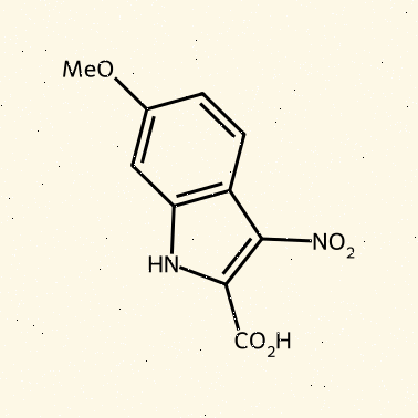 COc1ccc2c([N+](=O)[O-])c(C(=O)O)[nH]c2c1